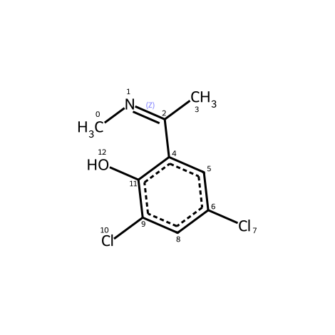 C/N=C(/C)c1cc(Cl)cc(Cl)c1O